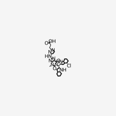 Cn1c(Nc2ccnc(CCC(=O)O)n2)nc2c1c(=O)n(C(c1cc3ccccc3[nH]1)c1cc3c(Cl)cccc3[nH]1)c(=O)n2C